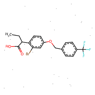 CCC(C(=O)O)c1ccc(OCc2ccc(C(F)(F)F)cc2)cc1Br